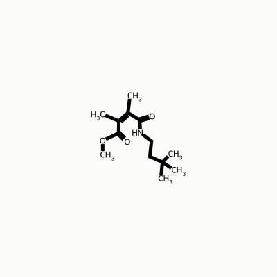 COC(=O)/C(C)=C(/C)C(=O)NCCC(C)(C)C